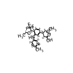 CCOC(c1ccc(C(COC)CC(=O)O)cc1Nc1cnc(C)nc1)C(F)(F)F